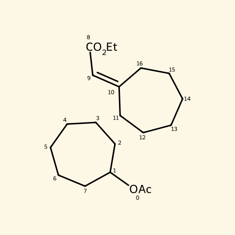 CC(=O)OC1CCCCCC1.CCOC(=O)C=C1CCCCCC1